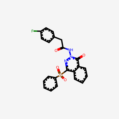 O=C(Cc1ccc(F)cc1)Nn1nc(S(=O)(=O)c2ccccc2)c2ccccc2c1=O